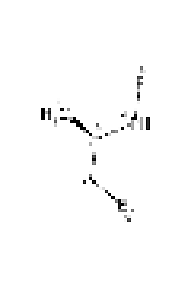 CCC[C@@H](C)PF